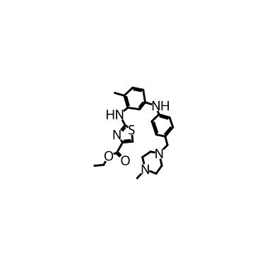 CCOC(=O)c1csc(Nc2cc(Nc3ccc(CN4CCN(C)CC4)cc3)ccc2C)n1